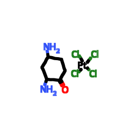 NC1CCC(=O)C(N)C1.[Cl][Pt]([Cl])([Cl])[Cl]